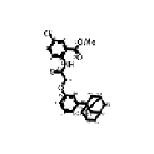 COC(=O)c1cc(Cl)ccc1NC(=O)COc1cccc(C23CC4CC(CC(C4)C2)C3)c1